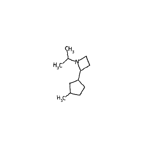 CC1CCC(C2CCN2C(C)C)C1